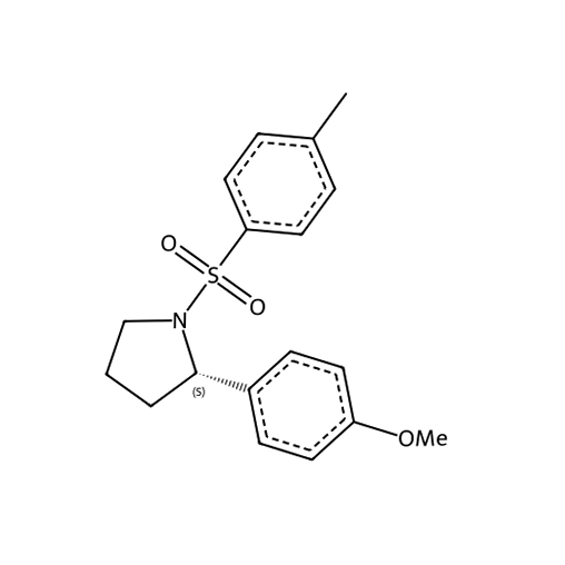 COc1ccc([C@@H]2CCCN2S(=O)(=O)c2ccc(C)cc2)cc1